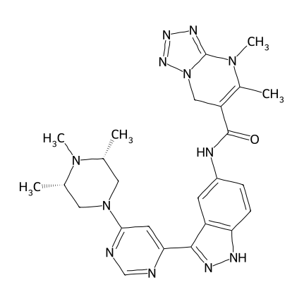 CC1=C(C(=O)Nc2ccc3[nH]nc(-c4cc(N5C[C@@H](C)N(C)[C@@H](C)C5)ncn4)c3c2)Cn2nnnc2N1C